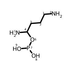 NCCCC(N)OP(O)O